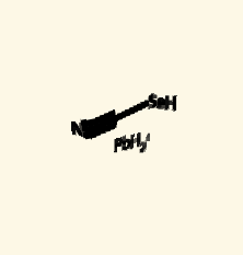 N#C[SeH].[PbH2]